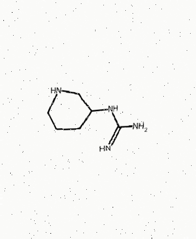 N=C(N)NC1CCCNC1